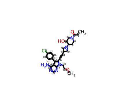 C=CC(=O)N1CC[C@@H](N2CC(C#Cc3c(-c4ccc(Cl)cc4)c4c(N)ncnc4n3CCOC)C2)[C@@H](O)C1